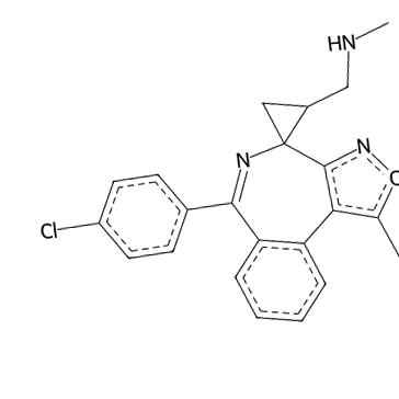 CNCC1CC12N=C(c1ccc(Cl)cc1)c1ccccc1-c1c2noc1C